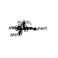 C=C(C)C(=O)OCCCc1cc(-c2ccc(C3CCC(CCC4CCC(CCCCC)CC4)CC3)cc2CC)c(CC)cc1OCC(COC(=O)CC(=O)OC)(COC(=O)CC(=O)OC)COC(=O)C(=C)C